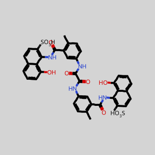 Cc1ccc(NC(=O)C(=O)Nc2ccc(C)c(C(=O)Nc3c(S(=O)(=O)O)ccc4cccc(O)c34)c2)cc1C(=O)Nc1c(S(=O)(=O)O)ccc2cccc(O)c12